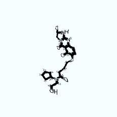 O=C1Cn2c(nc3ccc(OCCCC(=O)N(CCO)C4CCCC4)c(Cl)c3c2=O)N1